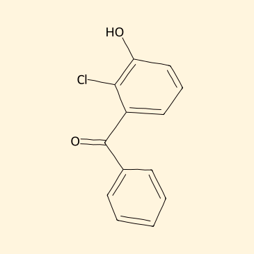 O=C(c1ccccc1)c1cccc(O)c1Cl